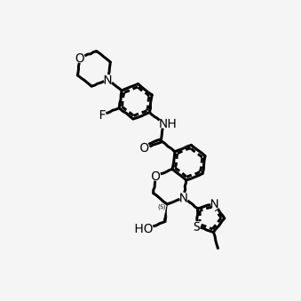 Cc1cnc(N2c3cccc(C(=O)Nc4ccc(N5CCOCC5)c(F)c4)c3OC[C@@H]2CO)s1